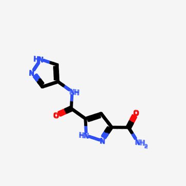 NC(=O)c1cc(C(=O)Nc2cn[nH]c2)[nH]n1